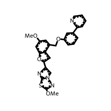 COc1cc(COc2cccc(-c3ccccn3)c2)c2cc(-c3cn4nc(OC)sc4n3)oc2c1